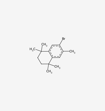 Cc1cc2c(cc1Br)C(C)(C)CCC2(C)C